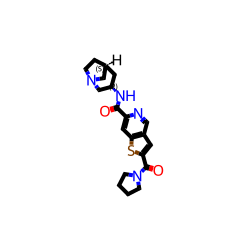 O=C(N[C@@H]1C[C@@H]2CCN(C2)C1)c1cc2sc(C(=O)N3CCCC3)cc2cn1